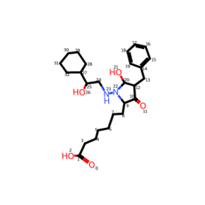 O=C(O)CCCCCCC1C(=O)C(Cc2ccccc2)C(O)N1NCC(O)C1CCCCC1